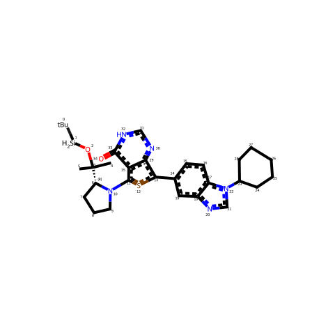 CC(C)(C)[SiH2]OC(C)(C)[C@H]1CCCN1c1sc(-c2ccc3c(c2)ncn3C2CCCCC2)c2nc[nH]c(=O)c12